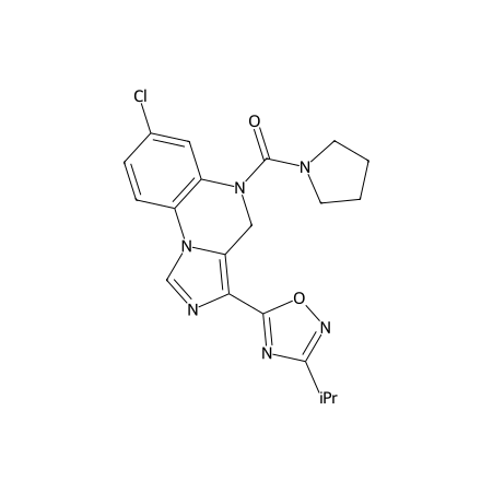 CC(C)c1noc(-c2ncn3c2CN(C(=O)N2CCCC2)c2cc(Cl)ccc2-3)n1